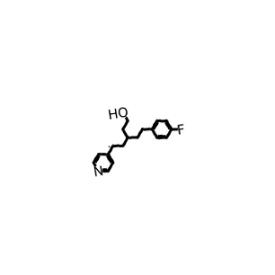 OCCC(C[CH]c1ccncc1)CCc1ccc(F)cc1